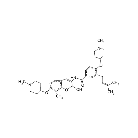 CC(C)=CCc1cc(C(=O)NC2=Cc3ccc(OC4CCN(C)CC4)c(C)c3OC2O)ccc1OC1CCN(C)CC1